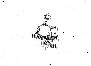 CO[C@]1(C)C[C@@H](C)CN(C)CCN(CCc2ccccc2)CCCOC(=O)C(C)(C)C(=O)[C@H](C)[C@H]1O[C@@H]1O[C@H](C)C[C@H](N(C)C)[C@H]1O